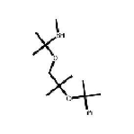 CBC(C)(C)OCC(C)(C)OC(C)(C)C(C)C